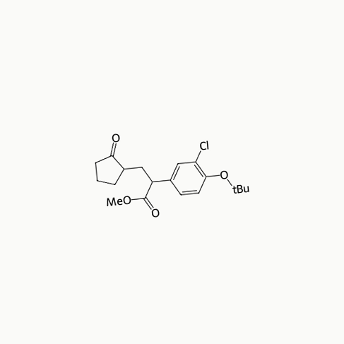 COC(=O)C(CC1CCCC1=O)c1ccc(OC(C)(C)C)c(Cl)c1